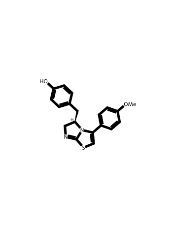 COc1ccc(C2=CSC3=NC[C@@H](Cc4ccc(O)cc4)N23)cc1